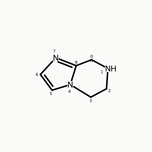 [C]1NCCn2ccnc21